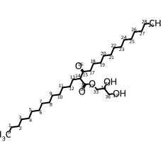 CCCCCCCCCCCCCCC(C(=O)CCCCCCCCCCCCC)C(=O)OCC(O)CO